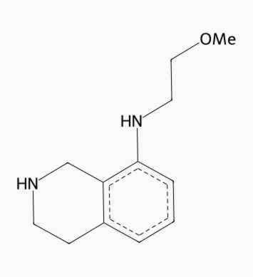 COCCNc1cccc2c1CNCC2